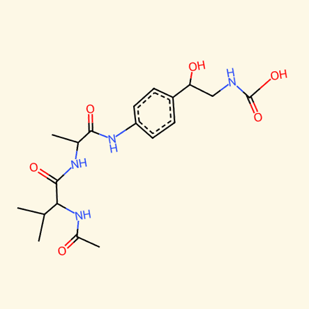 CC(=O)NC(C(=O)NC(C)C(=O)Nc1ccc(C(O)CNC(=O)O)cc1)C(C)C